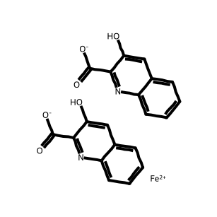 O=C([O-])c1nc2ccccc2cc1O.O=C([O-])c1nc2ccccc2cc1O.[Fe+2]